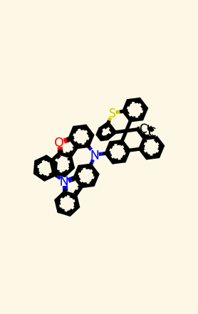 c1ccc(-n2c3ccccc3c3ccc(N(c4ccc5c(c4)C4(c6ccccc6Sc6ccccc64)c4cccc6cccc-5c46)c4cccc5oc6ccccc6c45)cc32)cc1